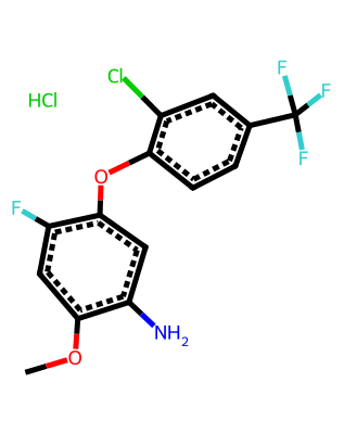 COc1cc(F)c(Oc2ccc(C(F)(F)F)cc2Cl)cc1N.Cl